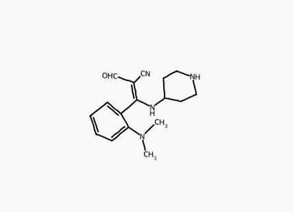 CN(C)c1ccccc1/C(NC1CCNCC1)=C(/C#N)C=O